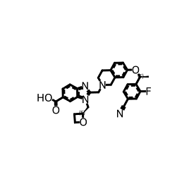 C[C@H](Oc1ccc2c(c1)CN(Cc1nc3ccc(C(=O)O)cc3n1C[C@@H]1CCO1)CC2)c1ccc(C#N)cc1F